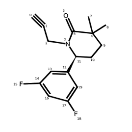 C#CCN1C(=O)C(C)(C)CC[C@H]1c1cc(F)cc(F)c1